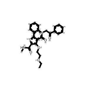 CCOCCOc1c(C(=O)NC)sc2c1c(=O)n(CC(=O)c1ccccc1)c1ccccc21